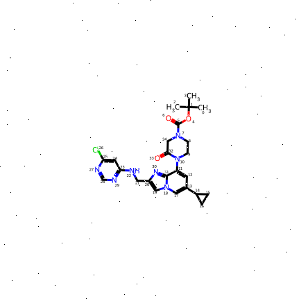 CC(C)(C)OC(=O)N1CCN(c2cc(C3CC3)cn3cc(CNc4cc(Cl)ncn4)nc23)C(=O)C1